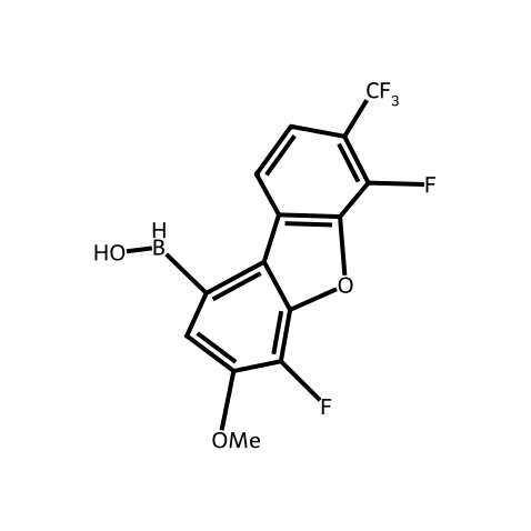 COc1cc(BO)c2c(oc3c(F)c(C(F)(F)F)ccc32)c1F